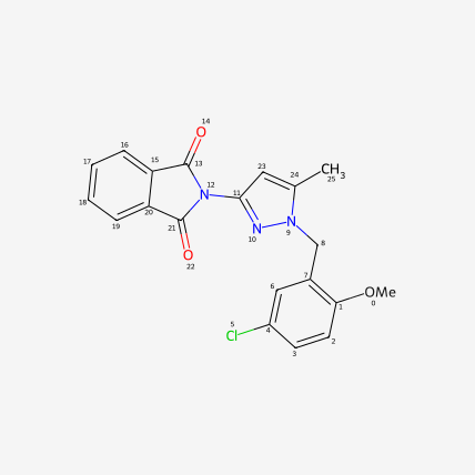 COc1ccc(Cl)cc1Cn1nc(N2C(=O)c3ccccc3C2=O)cc1C